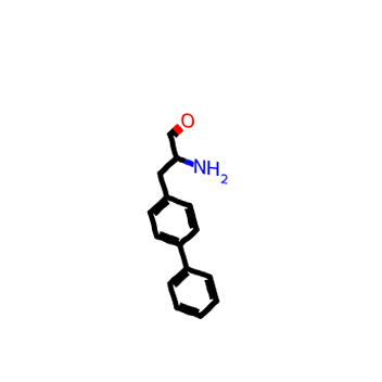 NC(C=O)Cc1ccc(-c2ccccc2)cc1